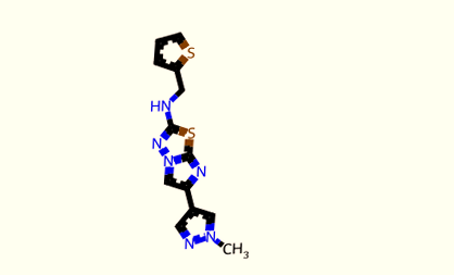 Cn1cc(-c2cn3nc(NCc4cccs4)sc3n2)cn1